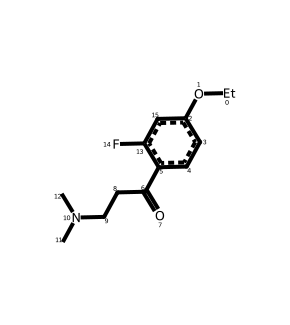 CCOc1ccc(C(=O)CCN(C)C)c(F)c1